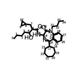 CCCCC(O)C(CC1CC1)C(=O)NC1N=C(C2CCCCCC2)c2ccccc2N(CCCC)C1=O